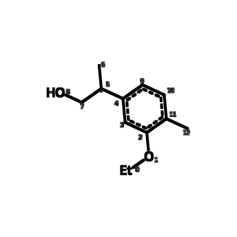 CCOc1cc([C](C)CO)ccc1C